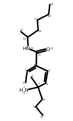 C/C=C(\C=C/C(C)(N)CCC)C(=O)NC(C)CCCC